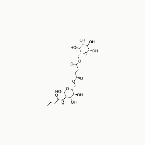 CCCC(=O)N[C@H]1C(O)O[C@H](COC(=O)CCC(=O)OC[C@H]2OC(O)[C@H](O)[C@@H](O)[C@@H]2O)[C@@H](O)[C@@H]1O